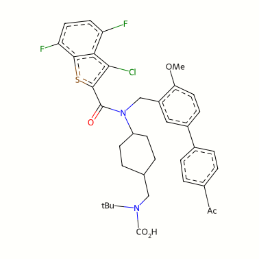 COc1ccc(-c2ccc(C(C)=O)cc2)cc1CN(C(=O)c1sc2c(F)ccc(F)c2c1Cl)C1CCC(CN(C(=O)O)C(C)(C)C)CC1